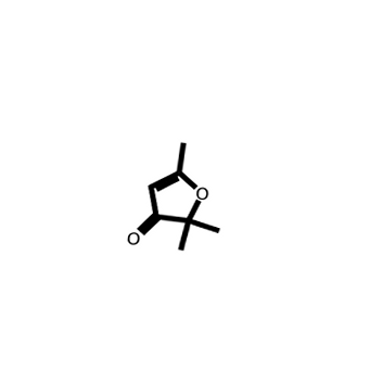 CC1=CC(=O)C(C)(C)O1